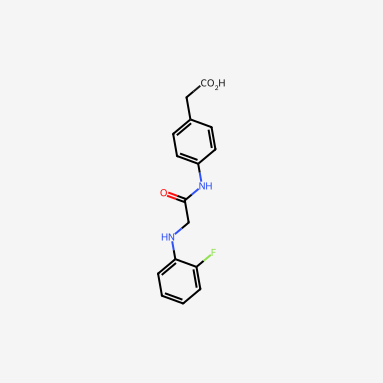 O=C(O)Cc1ccc(NC(=O)CNc2ccccc2F)cc1